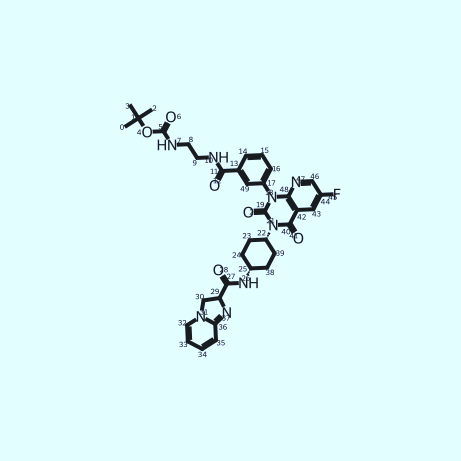 CC(C)(C)OC(=O)NCCNC(=O)c1cccc(-n2c(=O)n([C@H]3CC[C@@H](NC(=O)C4CN5C=CC=CC5=N4)CC3)c(=O)c3cc(F)cnc32)c1